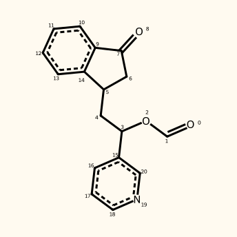 O=COC(CC1CC(=O)c2ccccc21)c1cccnc1